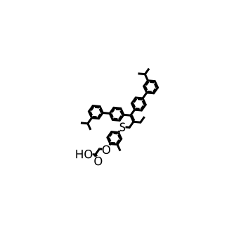 CCC(CSc1ccc(OCC(=O)O)c(C)c1)=C(c1ccc(-c2cccc(C(C)C)c2)cc1)c1ccc(-c2cccc(C(C)C)c2)cc1